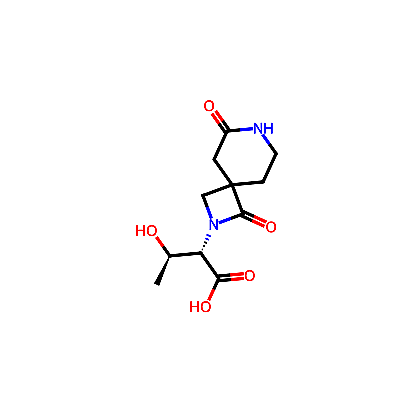 C[C@@H](O)[C@@H](C(=O)O)N1CC2(CCNC(=O)C2)C1=O